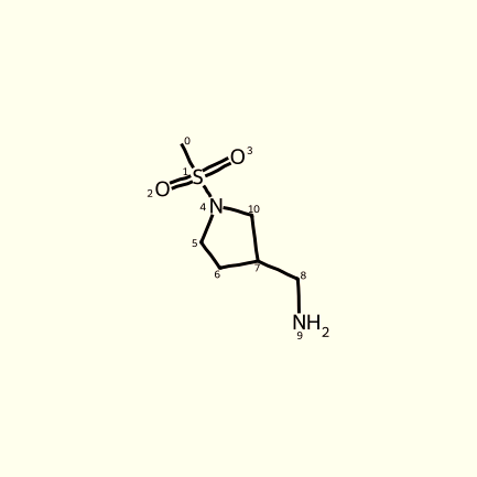 CS(=O)(=O)N1CCC(CN)C1